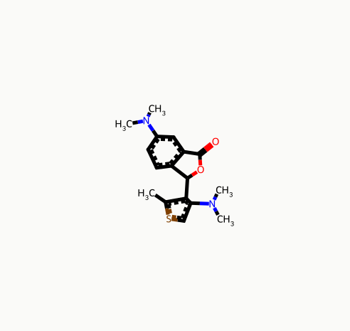 Cc1scc(N(C)C)c1C1OC(=O)c2cc(N(C)C)ccc21